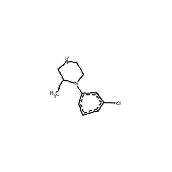 CC1CNCCN1c1cccc(Cl)c1